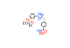 CCN(CC)S(=O)(=O)c1cccc(-c2nnc(Sc3ccc(C(=O)NO)cc3)n2C)c1